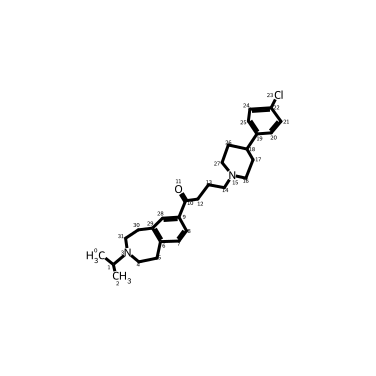 CC(C)N1CCc2ccc(C(=O)CCCN3CCC(c4ccc(Cl)cc4)CC3)cc2CC1